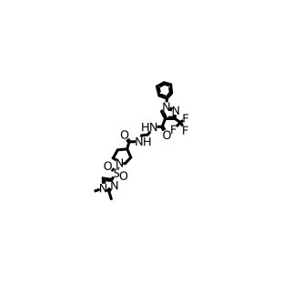 Cc1nc(S(=O)(=O)N2CCC(C(=O)NCCNC(=O)c3cn(-c4ccccc4)nc3C(F)(F)F)CC2)cn1C